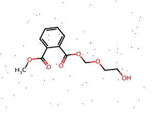 COC(=O)c1ccccc1C(=O)OCOCCO